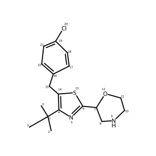 CC(C)(C)c1nc(C2CNCCO2)sc1Cc1ccc(Cl)cc1